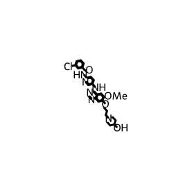 COc1cc2c(Nc3ccc(NC(=O)c4cccc(Cl)c4)nc3)ncnc2cc1OCCCN1CCC(O)CC1